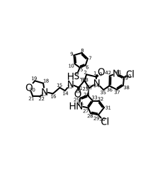 O=C1C[C@](Sc2ccccc2)(C(=O)NCCCN2CCOCC2)[C@H](c2c[nH]c3cc(Cl)ccc23)N1Cc1ccc(Cl)nc1